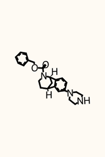 O=C(OCc1ccccc1)N1CC[C@@H]2C[C@@H]1c1ccc(N3CCNCC3)cc12